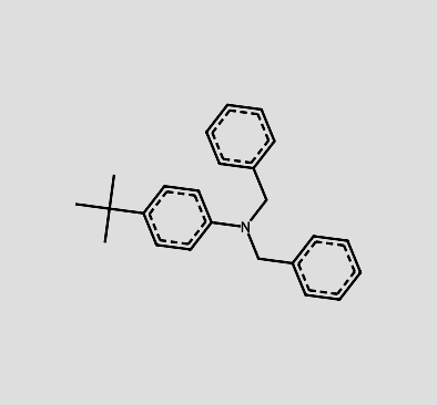 CC(C)(C)c1ccc(N(Cc2ccccc2)Cc2ccccc2)cc1